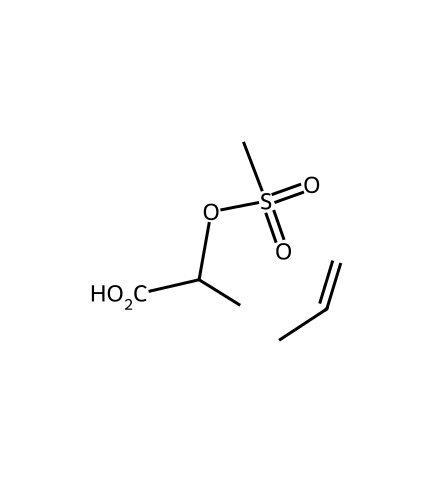 C=CC.CC(OS(C)(=O)=O)C(=O)O